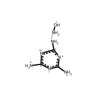 NO.Nc1nc(N)nc(N)n1